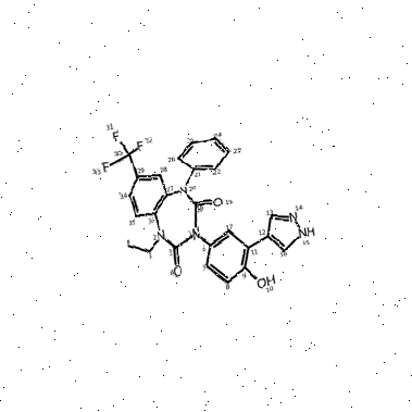 CCN1C(=O)N(c2ccc(O)c(-c3cn[nH]c3)c2)C(=O)N(c2ccccc2)c2cc(C(F)(F)F)ccc21